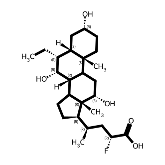 CC[C@H]1[C@@H](O)[C@H]2C3CC[C@H]([C@H](C)C[C@@H](F)C(=O)O)[C@@]3(C)[C@@H](O)CC2[C@@]2(C)CC[C@@H](O)C[C@@H]12